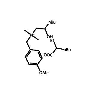 CCCCC(CC)C(=O)[O-].CCCCC(O)C[N+](C)(C)Cc1ccc(OC)cc1